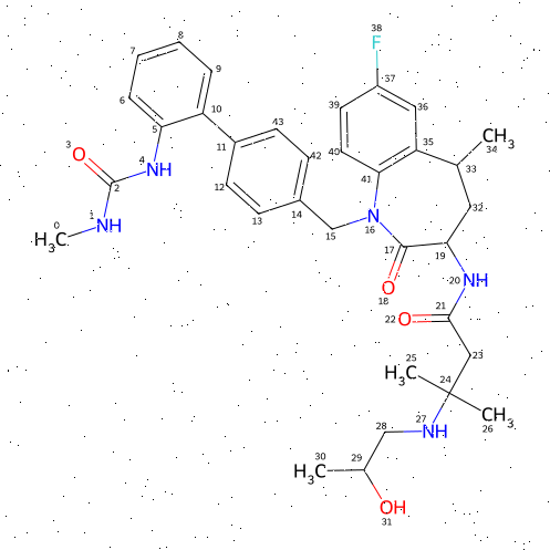 CNC(=O)Nc1ccccc1-c1ccc(CN2C(=O)C(NC(=O)CC(C)(C)NCC(C)O)CC(C)c3cc(F)ccc32)cc1